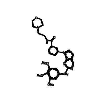 COc1cc(Nc2ncc3ccn(-c4cccc(C(=O)NCCN5CCOCC5)c4)c3n2)cc(OC)c1OC